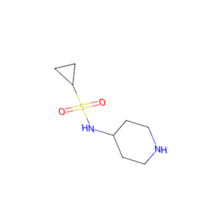 O=S(=O)(NC1CCNCC1)C1CC1